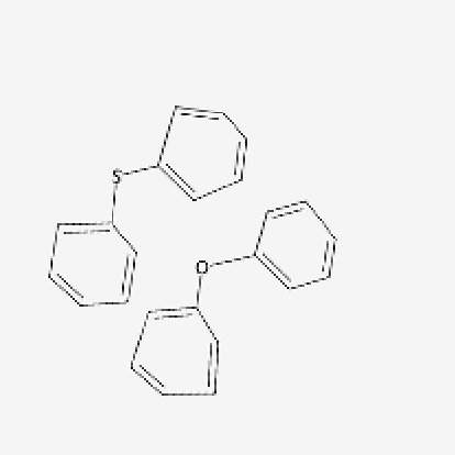 c1ccc(Oc2ccccc2)cc1.c1ccc(Sc2ccccc2)cc1